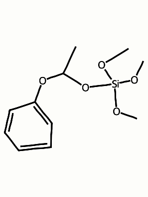 CO[Si](OC)(OC)OC(C)Oc1ccccc1